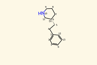 c1ccc(CC[C@H]2CCCNC2)cc1